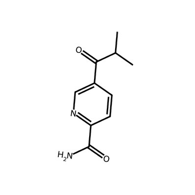 CC(C)C(=O)c1ccc(C(N)=O)nc1